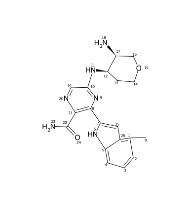 Cc1cccc2[nH]c(-c3nc(N[C@@H]4CCOC[C@@H]4N)cnc3C(N)=O)cc12